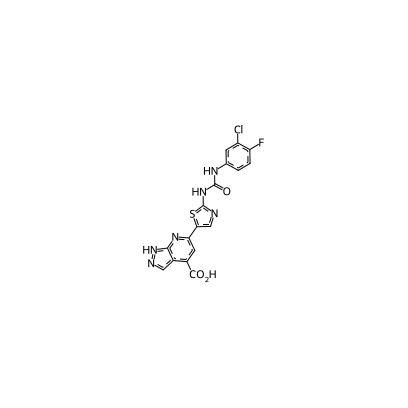 O=C(Nc1ccc(F)c(Cl)c1)Nc1ncc(-c2cc(C(=O)O)c3cn[nH]c3n2)s1